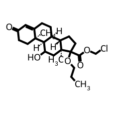 CCCOC1(C(=O)OCCl)CC[C@H]2[C@@H]3CCC4=CC(=O)CC[C@]4(C)[C@@H]3C(O)C[C@@]21C